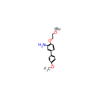 CC(C)(C)OCCOc1ccc(-c2ccc(OC(F)(F)F)cc2)cc1N